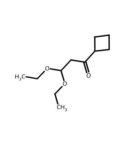 CCOC(CC(=O)C1CCC1)OCC